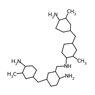 CC1CC(CC2CCC(NCC3CC(CC4CCC(N)C(C)C4)CCC3N)C(C)C2)CCC1N